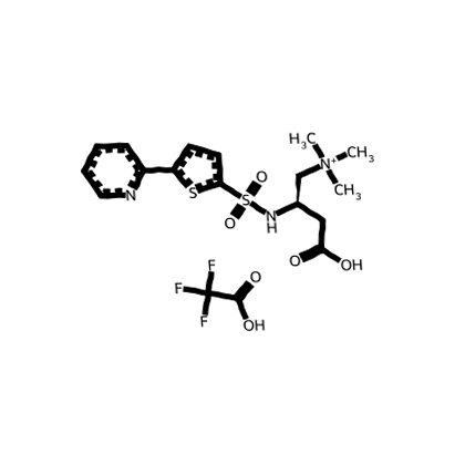 C[N+](C)(C)C[C@@H](CC(=O)O)NS(=O)(=O)c1ccc(-c2ccccn2)s1.O=C(O)C(F)(F)F